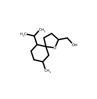 CC1CCC(C(C)C)C2(CCC(CO)O2)C1